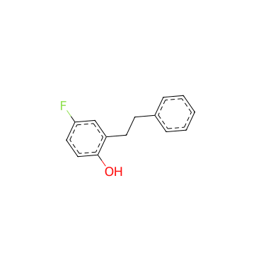 Oc1ccc(F)cc1CCc1ccccc1